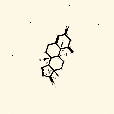 C=C1CC(=O)C=C2CC[C@@H]3[C@H](CC[C@]4(C)C(=O)C=C[C@@H]34)[C@@]12C